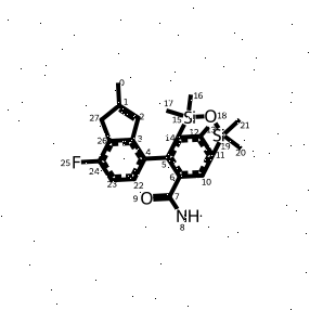 CC1=Cc2c(-c3c(C([NH])=O)cc4c(C)c3[Si](C)(C)O[Si]4(C)C)ccc(F)c2C1